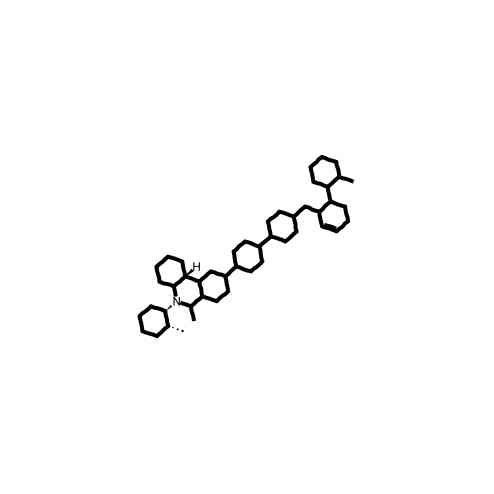 CC1CCCCC1C1CCC=CC1CC1CCC(C2CCC(C3CCC4C(C3)[C@H]3CCCCC3N([C@H]3CCCC[C@H]3C)C4C)CC2)CC1